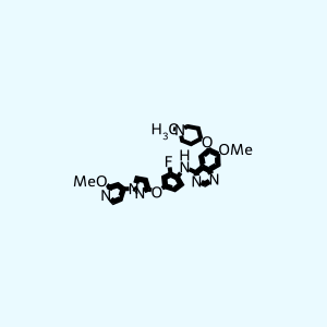 COc1cc(-n2ccc(Oc3ccc(Nc4ncnc5cc(OC)c(OC6CCN(C)CC6)cc45)c(F)c3)n2)ccn1